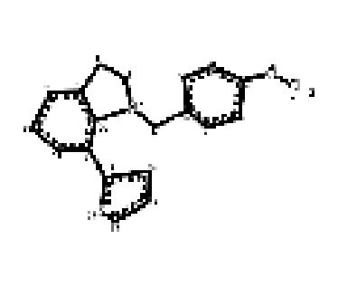 COc1ccc(CN2CCc3cccc(-c4cccs4)c32)cc1